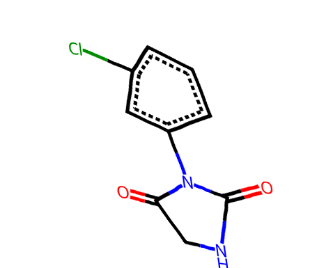 O=C1CNC(=O)N1c1cccc(Cl)c1